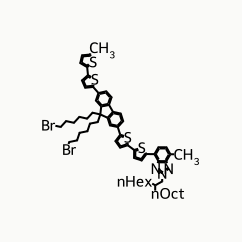 CCCCCCCCC(CCCCCC)Cn1nc2c(C)ccc(-c3ccc(-c4ccc(-c5ccc6c(c5)C(CCCCCCBr)(CCCCCCBr)c5cc(-c7ccc(-c8ccc(C)s8)s7)ccc5-6)s4)s3)c2n1